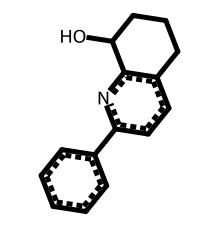 OC1CCCc2ccc(-c3ccccc3)nc21